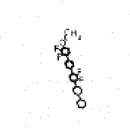 CCCOc1ccc(-c2ccc(-c3ccc(C4CCC(C5CCCCC5)CC4)c(F)c3F)cc2)c(F)c1F